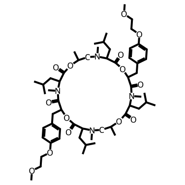 COCCOc1ccc(CC2OC(=O)C(CC(C)C)N(C)CC(C)OC(=O)C(CC(C)C)N(C)C(=O)C(Cc3ccc(OCCOC)cc3)OC(=O)C(CC(C)C)N(C)CC(C)OC(=O)C(CC(C)C)N(C)C2=O)cc1